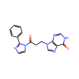 O=C(CCn1cnc2c(=O)[nH]cnc21)n1ccnc1-c1ccccc1